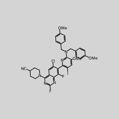 COc1ccc(CN(Cc2ccc(OC)cc2)c2nc(-c3c(Cl)cc4c(N5CCC(C#N)CC5)nc(F)nc4c3F)c(I)cc2OC)cc1